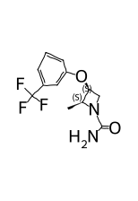 C[C@H]1[C@@H](Oc2cccc(C(F)(F)F)c2)CN1C(N)=O